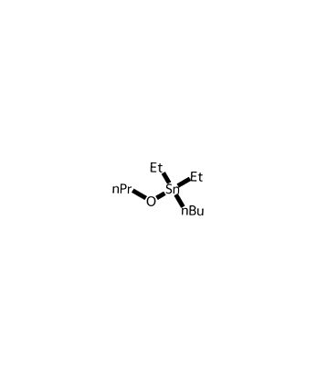 CCC[CH2][Sn]([CH2]C)([CH2]C)[O]CCC